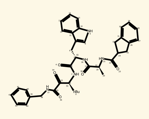 CCCC[C@H](NC(=O)[C@H](Cc1c[nH]c2ccccc12)NC(=O)[C@H](C)NC(=O)C1Cc2ccccc2C1)C(=O)C(=O)NCc1ccccc1